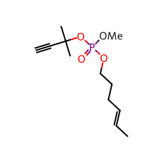 C#CC(C)(C)OP(=O)(OC)OCCCC=CC